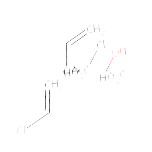 C=CCl.C=COC(C)=O.O=C(O)Cl.O=C(O)O